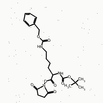 CC(C)(C)OC(=O)NC(CCCCNC(=O)OCc1ccccc1)C(=O)ON1C(=O)CCC1=O